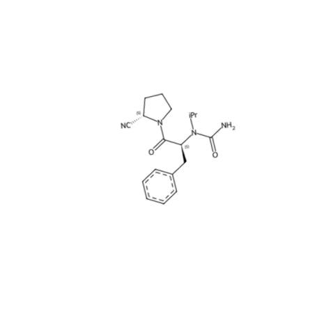 CC(C)N(C(N)=O)[C@@H](Cc1ccccc1)C(=O)N1CCC[C@H]1C#N